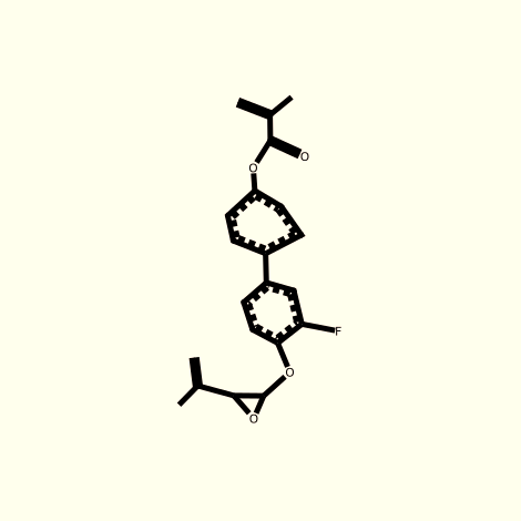 C=C(C)C(=O)Oc1ccc(-c2ccc(OC3OC3C(=C)C)c(F)c2)cc1